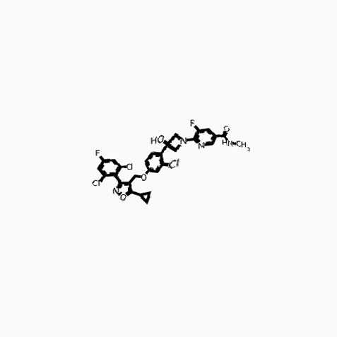 CNC(=O)c1cnc(N2CC(O)(c3ccc(OCc4c(-c5c(Cl)cc(F)cc5Cl)noc4C4CC4)cc3Cl)C2)c(F)c1